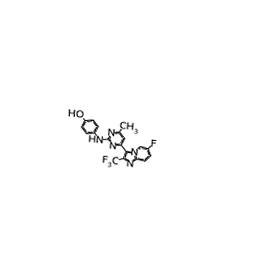 Cc1cc(-c2c(C(F)(F)F)nc3ccc(F)cn23)nc(Nc2ccc(O)cc2)n1